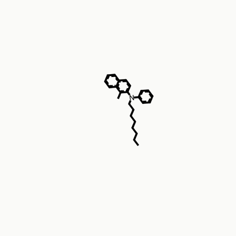 CCCCCCCCN(c1ccccc1)c1ccc2ccccc2c1C